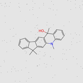 CN1c2ccccc2C(C)(O)c2cc3c(cc21)C(C)(C)c1ccccc1-3